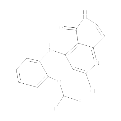 O=c1[nH]ccc2nc(Cl)cc(Nc3ccccc3OC(F)F)c12